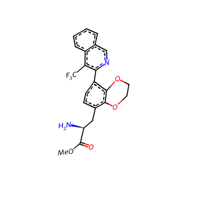 COC(=O)[C@@H](N)Cc1ccc(-c2ncc3ccccc3c2C(F)(F)F)c2c1OCCO2